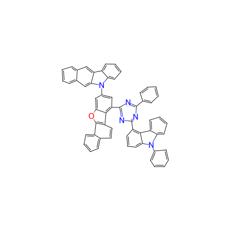 c1ccc(-c2nc(-c3cc(-n4c5ccccc5c5cc6ccccc6cc54)cc4oc5c6ccccc6ccc5c34)nc(-c3cccc4c3c3ccccc3n4-c3ccccc3)n2)cc1